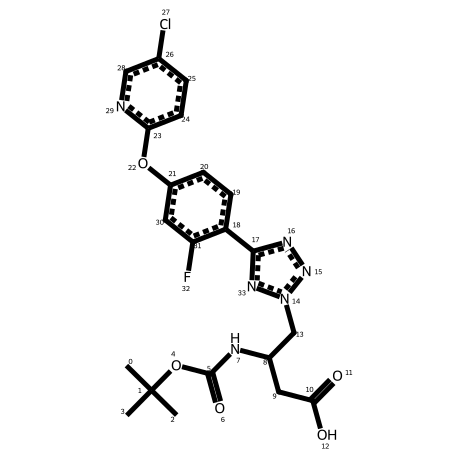 CC(C)(C)OC(=O)NC(CC(=O)O)Cn1nnc(-c2ccc(Oc3ccc(Cl)cn3)cc2F)n1